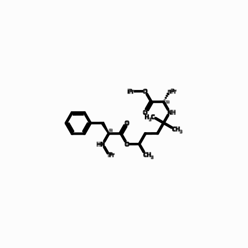 CCC[C@H](NC(C)(C)CCC(C)OC(=O)[C@H](Cc1ccccc1)NC(C)C)C(=O)OC(C)C